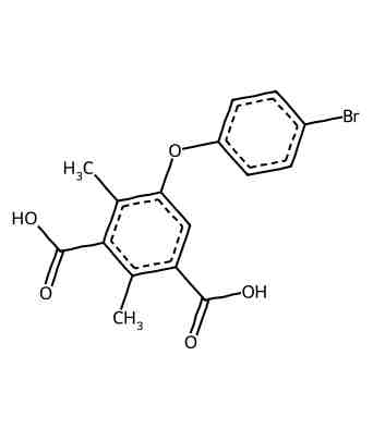 Cc1c(Oc2ccc(Br)cc2)cc(C(=O)O)c(C)c1C(=O)O